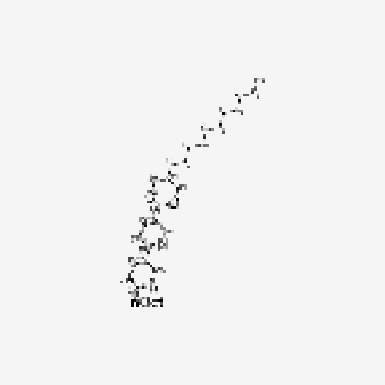 C=CCCCCCCCCCC1COC(c2ccc(-c3ccc(CCCCCCCC)cc3)nc2)OC1